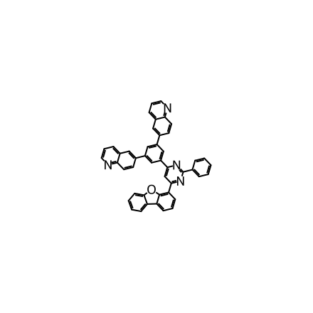 c1ccc(-c2nc(-c3cc(-c4ccc5ncccc5c4)cc(-c4ccc5ncccc5c4)c3)cc(-c3cccc4c3oc3ccccc34)n2)cc1